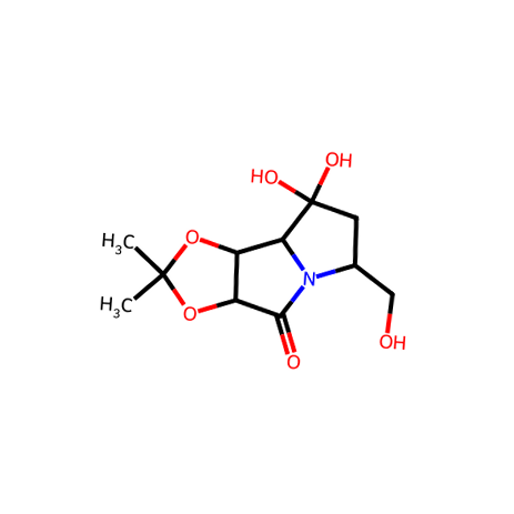 CC1(C)OC2C(=O)N3C(CO)CC(O)(O)C3C2O1